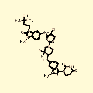 Cn1nc(N2CCC(=O)NC2=O)c2ccc(NC3CCN(c4ncc(Cl)c(Nc5ccc6c(c5)n(CCC(C)(C)O)c(=O)n6C)n4)CC3(F)F)cc21